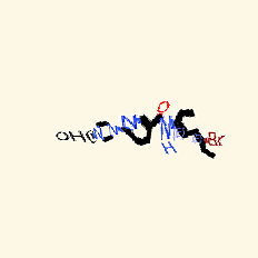 C=C/C(Br)=C\C=C(/C=C)NC(=O)c1ccc(N2CCN(C=O)CC2)nc1